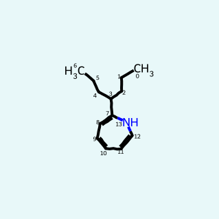 CCCC(CCC)C1=CC=CC=CN1